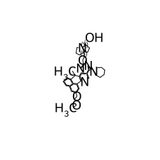 COCOc1cc2c3c(cccc3c1)C(C)c1c-2ncc2c(N3CCCCCC3)nc(OC[C@@]34CCCN3[C@H](CO)CC4)nc12